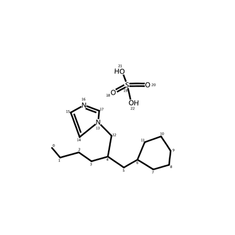 CCCCC(CC1CCCCC1)Cn1ccnc1.O=S(=O)(O)O